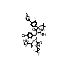 Cn1ccc(-c2ccc([C@@]3(CC(C)(C)C)NC(=N)N([C@H](COC(=O)NC4CC4(F)F)c4ccc(Cl)c(-n5ncnc5C(F)F)c4)C3=O)cc2F)n1